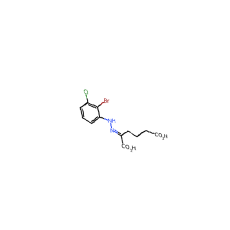 O=C(O)CCCC(=NNc1cccc(Cl)c1Br)C(=O)O